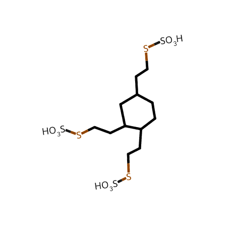 O=S(=O)(O)SCCC1CCC(CCSS(=O)(=O)O)C(CCSS(=O)(=O)O)C1